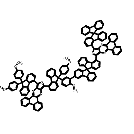 COc1ccc(C2(c3ccc(OC)cc3)c3ccccc3-c3c(-c4sc(-c5cccc6c5-c5ccccc5C6(c5ccc(OC)cc5)c5ccc(OC)c(-c6ccc7c(c6)-c6ccccc6C76c7ccccc7-c7c(-c8sc(-c9cccc%10c9-c9ccccc9C%109c%10ccccc%10-c%10ccccc%109)c9nc%10c%11ccccc%11c%11ccccc%11c%10nc89)cccc76)c5)c5nc6c7ccccc7c7ccccc7c6nc45)cccc32)cc1